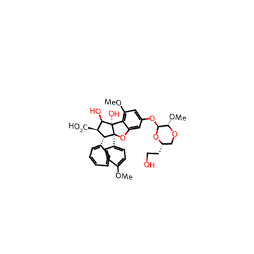 COc1ccc([C@@]23Oc4cc(O[C@@H]5O[C@@H](CCO)CO[C@H]5OC)cc(OC)c4[C@]2(O)[C@H](O)[C@H](C(=O)O)[C@H]3c2ccccc2)cc1